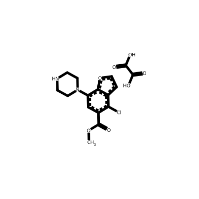 COC(=O)c1cc(N2CCNCC2)c2occc2c1Cl.O=C(O)C(=O)O